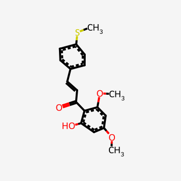 COc1cc(O)c(C(=O)C=Cc2ccc(SC)cc2)c(OC)c1